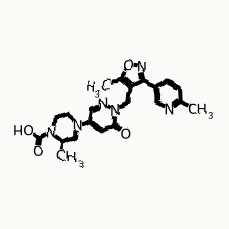 Cc1ccc(-c2noc(C)c2Cn2ncc(N3CCN(C(=O)O)[C@H](C)C3)cc2=O)cn1